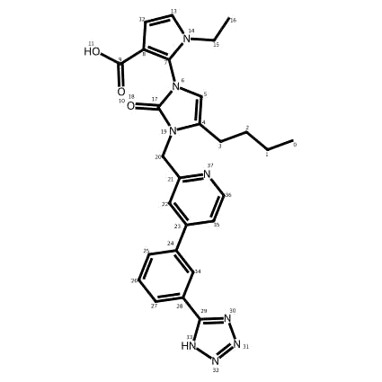 CCCCc1cn(-c2c(C(=O)O)ccn2CC)c(=O)n1Cc1cc(-c2cccc(-c3nnn[nH]3)c2)ccn1